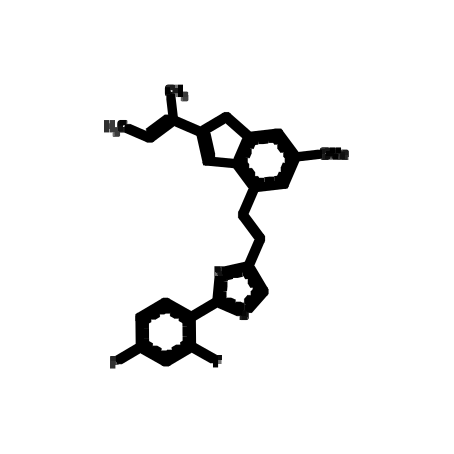 C/C=C(\C)C1=Cc2c(CCc3csc(-c4ccc(F)cc4F)n3)cc(OC)cc2C1